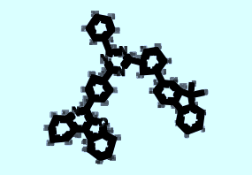 CC1(C)c2ccccc2-c2ccc(-c3cccc(-c4nc(-c5ccccc5)nc(-c5ccc(-c6nc7ccccc7c7c6oc6ccccc67)cc5)n4)c3)cc21